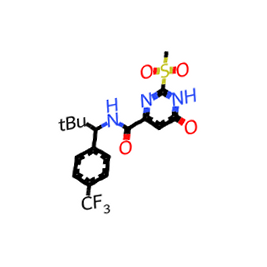 CC(C)(C)C(NC(=O)c1cc(=O)[nH]c(S(C)(=O)=O)n1)c1ccc(C(F)(F)F)cc1